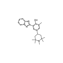 Cc1cc(C2CC(C)(C)N(C)C(C)(C)C2)cc(-n2nc3ccccc3n2)c1O